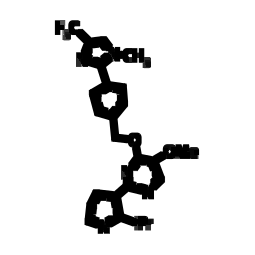 COc1cnc(-c2cccnc2C(C)C)nc1OCc1ccc(-c2nc(C(F)(F)F)cn2C)cc1